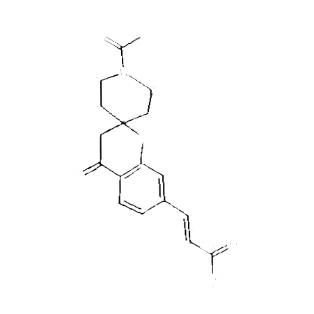 CC(=O)N1CCC2(CC1)CC(=O)c1ccc(/C=C/C(=O)O)cc1O2